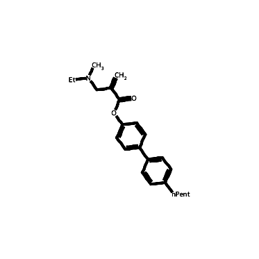 C=C(CN(C)CC)C(=O)Oc1ccc(-c2ccc(CCCCC)cc2)cc1